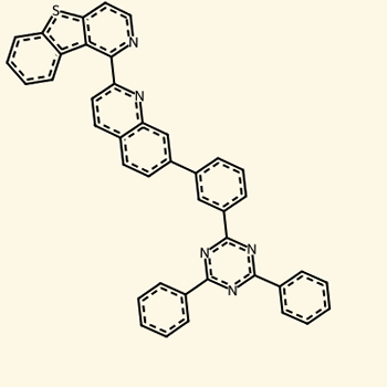 c1ccc(-c2nc(-c3ccccc3)nc(-c3cccc(-c4ccc5ccc(-c6nccc7sc8ccccc8c67)nc5c4)c3)n2)cc1